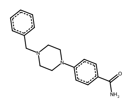 NC(=O)c1ccc(N2CCN(Cc3ccccc3)CC2)cc1